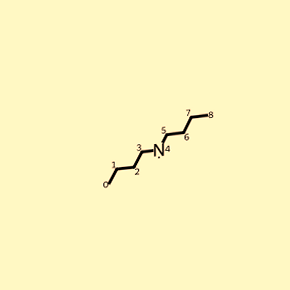 CCCC[N]CCCC